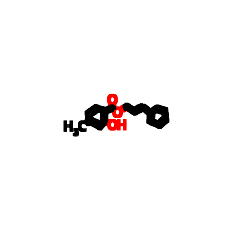 Cc1ccc(C(=O)OCC=Cc2ccccc2)c(O)c1